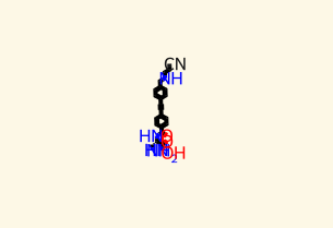 N#CCCNCc1ccc(C#Cc2ccc(C(=O)N[C@@H](CN)C(=O)NO)cc2)cc1